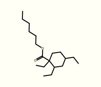 CCCCCCOC(=O)C1(CC)CCC(CC)CC1CC